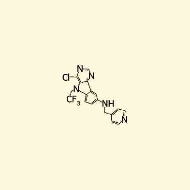 FC(F)(F)Cn1c2ccc(NCc3ccncc3)cc2c2ncnc(Cl)c21